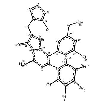 [2H]c1c([2H])c([2H])c(-c2nc(N)[n+]3c(=O)n(Cc4ncoc4C)[nH]c3c2-c2cc(Cl)nc(CO)c2)c([2H])c1[2H]